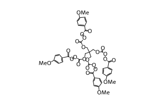 COc1ccc(C(=O)OOC(=O)OCC(COC(=O)OOC(=O)c2ccc(OC)cc2)(COC(=O)OOC(=O)c2ccc(OC)cc2)COC(=O)OOC(=O)c2ccc(OC)cc2)cc1